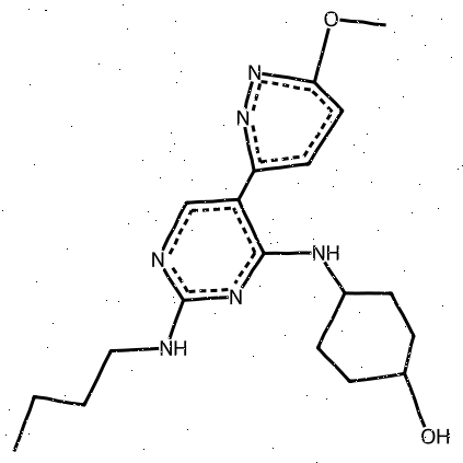 CCCCNc1ncc(-c2ccc(OC)nn2)c(NC2CCC(O)CC2)n1